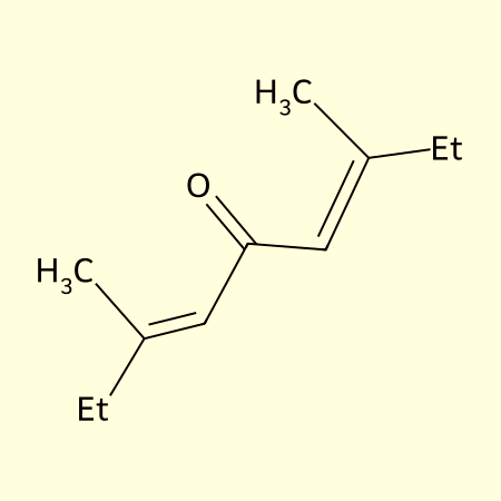 CCC(C)=CC(=O)C=C(C)CC